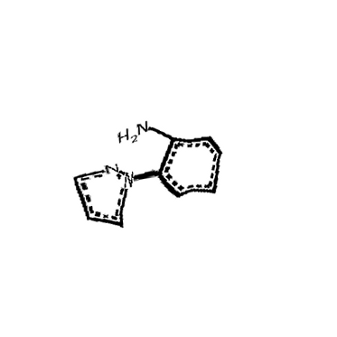 Nc1ccccc1-n1cccn1